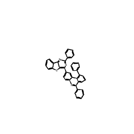 c1ccc(-c2nc(-c3ccc4nc(-c5ccccc5)c5cccc(-c6ccccc6)c5c4c3)c3sc4ccccc4c3n2)cc1